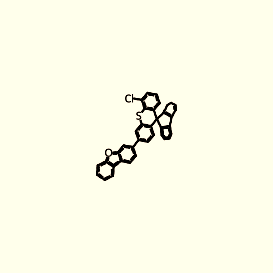 Clc1cccc2c1Sc1cc(-c3ccc4c(c3)oc3ccccc34)ccc1C21C2=C(C=CCC2)c2ccccc21